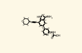 Nc1n[nH]c2c(C#CC3CCOCC3)cc(-c3ccnc(NC(=O)O)c3)cc12